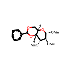 CO[C@H]1O[C@@H]2COC(c3ccccc3)O[C@H]2[C@@H](OC)[C@@H]1OC